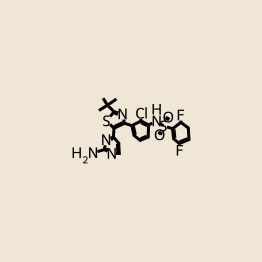 CC(C)(C)c1nc(-c2cccc(NS(=O)(=O)C3=CC(F)=CCC3F)c2Cl)c(-c2ccnc(N)n2)s1